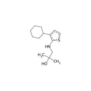 CC(C)(O)CNc1sccc1C1CCCCC1